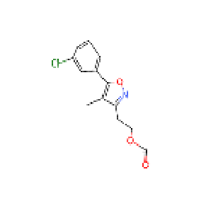 Cc1c(CCOC=O)noc1-c1cccc(Cl)c1